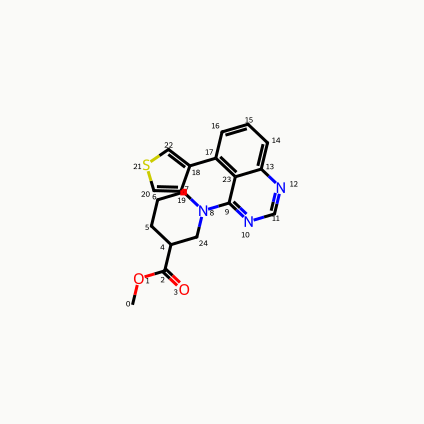 COC(=O)C1CCCN(c2ncnc3cccc(-c4ccsc4)c23)C1